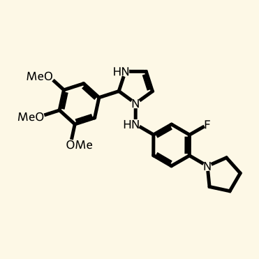 COc1cc(C2NC=CN2Nc2ccc(N3CCCC3)c(F)c2)cc(OC)c1OC